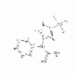 CC(C)(C)c1nnc(N(C(=O)O)c2ccccc2)s1